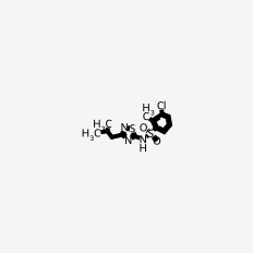 Cc1c(Cl)cccc1S(=O)(=O)Nc1nc(CC(C)C)ns1